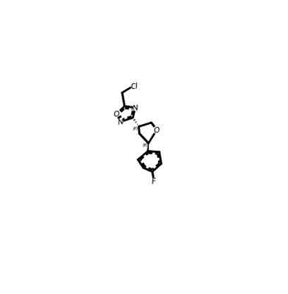 Fc1ccc([C@H]2C[C@H](c3noc(CCl)n3)CO2)cc1